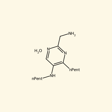 CCCCCNc1cnc(CN)nc1CCCCC.O